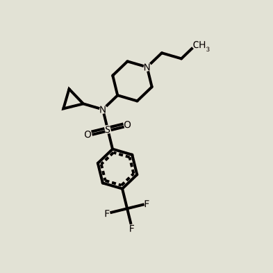 CCCN1CCC(N(C2CC2)S(=O)(=O)c2ccc(C(F)(F)F)cc2)CC1